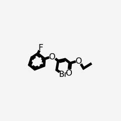 CCOC(=O)C=C(CBr)Oc1ccccc1F